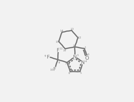 O=CC1(n2nccc2C(F)(F)F)CCCCC1